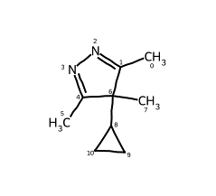 CC1=NN=C(C)C1(C)C1CC1